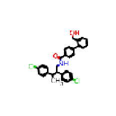 CC(c1ccc(Cl)cc1)C(CNC(=O)c1ccc(-c2ccccc2CO)cc1)c1ccc(Cl)cc1